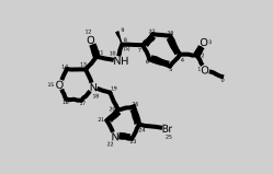 COC(=O)c1ccc([C@H](C)NC(=O)C2COCCN2Cc2cncc(Br)c2)cc1